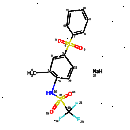 Cc1cc(S(=O)(=O)c2ccccc2)ccc1NS(=O)(=O)C(F)(F)F.[NaH]